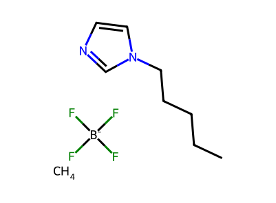 C.CCCCCn1ccnc1.F[B-](F)(F)F